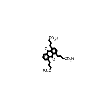 O=C(O)CCCc1cccc2c1C(=O)c1c(CCCC(=O)O)ccc(CCCC(=O)O)c1C2=O